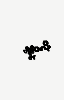 COC(=O)C1(NS(=O)(=O)c2ccc(OCC3=CC(C)N(C)c4ccccc43)cc2)CN(C(=O)C(C)C)C1